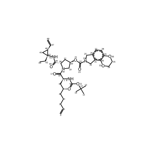 C=CCCCCC[C@H](NC(=O)OC(C)(C)C)C(=O)N1C[C@H](OC(=O)N2Cc3ccc4c(c3C2)OCCO4)C[C@H]1C(=O)N[C@]1(CC)C[C@H]1C=C